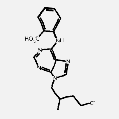 CC(CCCl)Cn1cnc2c(Nc3ccccc3C(=O)O)ncnc21